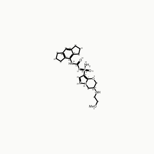 COCCN[C@@H]1COc2c([S@@](N)(=O)=NC(=O)Nc3c4c(cc5c3CCC5)CCC4)cnn2C1